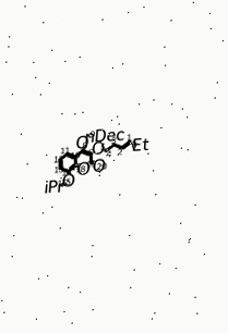 CCC=CCCOc1c(OCCCCCCCCCC)c2cccc(OC(C)C)c2oc1=O